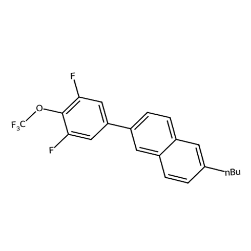 CCCCc1ccc2cc(-c3cc(F)c(OC(F)(F)F)c(F)c3)ccc2c1